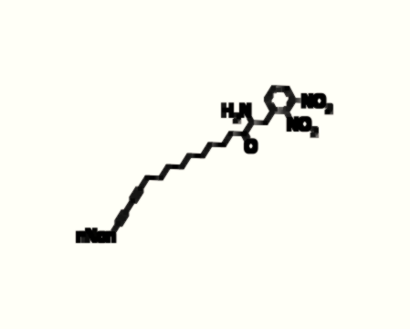 CCCCCCCCCC#CC#CCCCCCCCCCC(=O)C(N)Cc1cccc([N+](=O)[O-])c1[N+](=O)[O-]